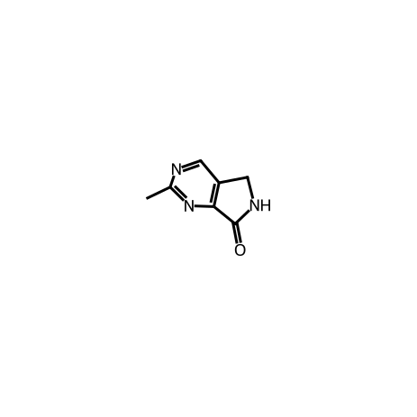 Cc1ncc2c(n1)C(=O)NC2